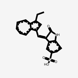 CCc1cc(C=C2C(=O)Nc3ccc(S(=O)(=O)O)cc32)c2cccccc1-2